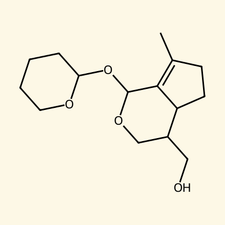 CC1=C2C(OC3CCCCO3)OCC(CO)C2CC1